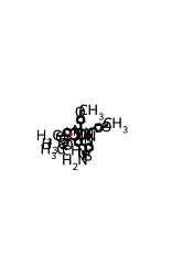 COc1ccc(CN(Cc2ccc(OC)cc2)S(=O)(=O)c2c(CC(=O)OC(C)(C)C)ccc(-c3cccc4sc(N)nc34)c2-c2nnn(Cc3ccc(OC)cc3)n2)cc1